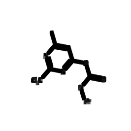 Cc1cc(OC(=O)OC(C)C)nc(C(Cl)(Cl)Cl)n1